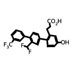 O=C(O)CCc1cc(O)ccc1-c1ccc(-c2cccc(C(F)(F)F)c2)c(C(F)F)c1